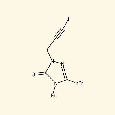 CCCc1nn(CC#CI)c(=O)n1CC